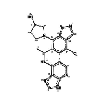 CC(Nc1ncnc2[nH]cnc12)c1cc(Cl)c2cncn2c1N1CCC(O)C1